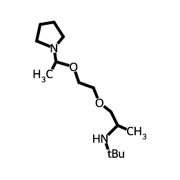 CC(COCCOC(C)N1CCCC1)NC(C)(C)C